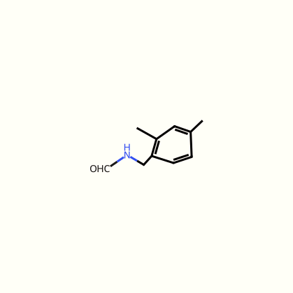 Cc1ccc(CNC=O)c(C)c1